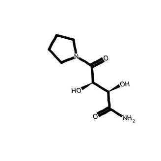 NC(=O)[C@H](O)[C@@H](O)C(=O)N1CCCC1